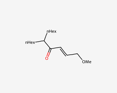 CCCCCCC(CCCCCC)C(=O)/C=C/COC